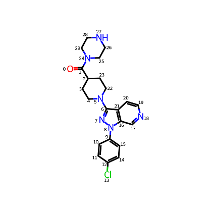 O=C(C1CCN(c2nn(-c3ccc(Cl)cc3)c3cnccc23)CC1)N1CCNCC1